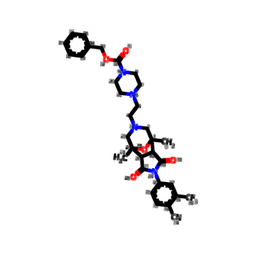 CC12CN(CCN3CCN(C(=O)OCc4ccccc4)CC3)CC(C)(O1)C1C(=O)N(c3ccc(C#N)c(C(F)(F)F)c3)C(=O)C12